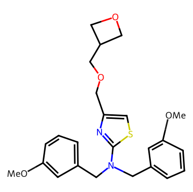 COc1cccc(CN(Cc2cccc(OC)c2)c2nc(COCC3COC3)cs2)c1